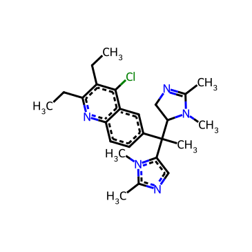 CCc1nc2ccc(C(C)(c3cnc(C)n3C)C3CN=C(C)N3C)cc2c(Cl)c1CC